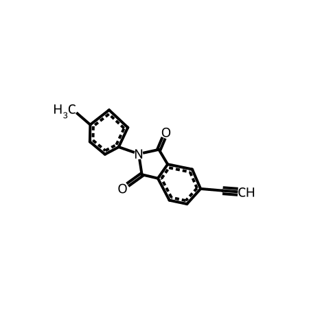 C#Cc1ccc2c(c1)C(=O)N(c1ccc(C)cc1)C2=O